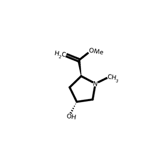 C=C(OC)[C@@H]1C[C@@H](O)CN1C